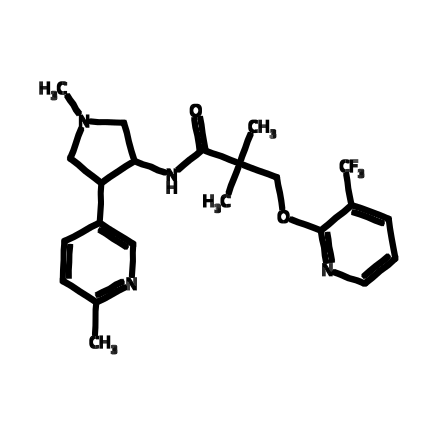 Cc1ccc(C2CN(C)CC2NC(=O)C(C)(C)COc2ncccc2C(F)(F)F)cn1